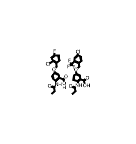 CCC(=O)Nc1ccc(OCc2ccc(Cl)cc2C(F)(F)F)cc1C(=O)O.CCC(=O)Nc1ccc(OCc2ccc(F)cc2Cl)cc1C(=O)O